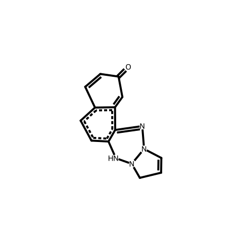 O=C1C=Cc2ccc3c(c2=C1)=NN1C=CCN1N3